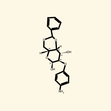 Nc1ccc(O[C@@H]2[C@@H](O)[C@H]3OC(c4ccccc4)OC[C@H]3O[C@@H]2O)cc1